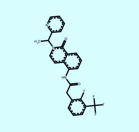 CC(c1ccccn1)n1ccc2c(NC(=O)Cc3cccc(C(F)(F)F)c3F)cccc2c1=O